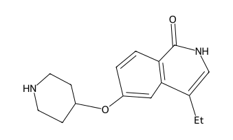 CCc1c[nH]c(=O)c2ccc(OC3CCNCC3)cc12